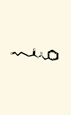 O=CCCCC(=O)ONCc1ccccc1